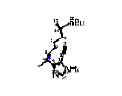 C#Cc1c(/C(C)=C\CCCC(=C)CCCC)ncn1C